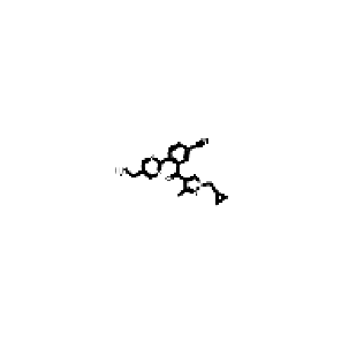 Cc1nn(CC2CC2)cc1C(=O)c1cc(C#N)ccc1-c1ncc(CN)cn1